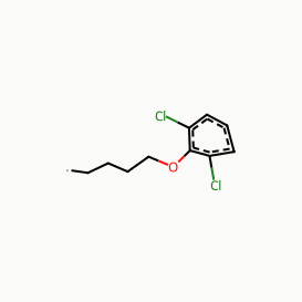 [CH2]CCCCOc1c(Cl)cccc1Cl